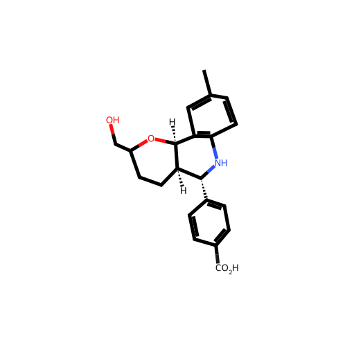 Cc1ccc2c(c1)[C@@H]1OC(CO)CC[C@@H]1[C@@H](c1ccc(C(=O)O)cc1)N2